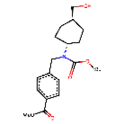 COC(=O)c1ccc(CN(C(=O)OC(C)(C)C)[C@H]2CC[C@H](CO)CC2)cc1